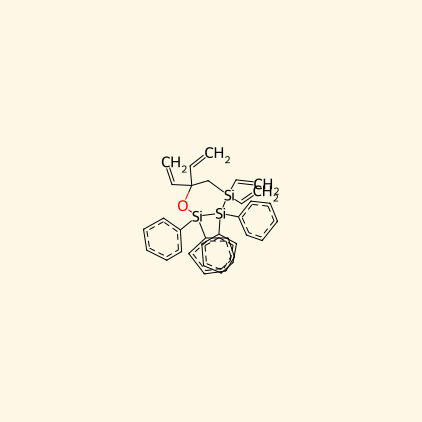 C=CC1(C=C)C[Si](C=C)(C=C)[Si](c2ccccc2)(c2ccccc2)[Si](c2ccccc2)(c2ccccc2)O1